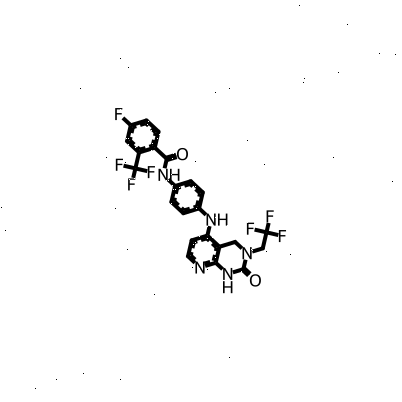 O=C(Nc1ccc(Nc2ccnc3c2CN(CC(F)(F)F)C(=O)N3)cc1)c1ccc(F)cc1C(F)(F)F